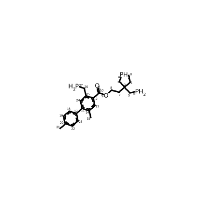 CCC(CP)(CP)CCOC(=O)c1cc(C)c(-c2ccc(C)cc2)cc1CP